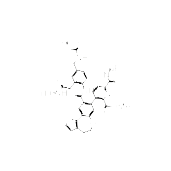 CCCNC(=O)Cc1cc(CNC(=O)OC(C)(C)C)ccc1NC(=O)c1cc2c(cc1-c1ccc(C(=O)NCCC)nc1C(=O)OC)OCCc1ccsc1-2